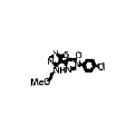 COCCNc1ncnc2sc3c(=O)n(-c4ccc(Cl)cc4)cnc3c12